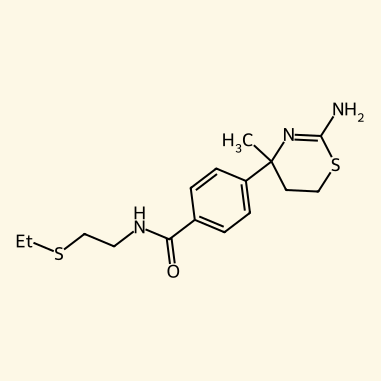 CCSCCNC(=O)c1ccc(C2(C)CCSC(N)=N2)cc1